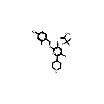 Fc1cc(Cl)ccc1COc1nc(C2CCNCC2)c(F)cc1F.O=C(O)C(F)(F)F